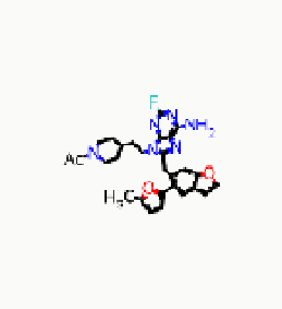 CC(=O)N1CCC(CCn2c(Cc3cc4occc4cc3-c3ccc(C)o3)nc3c(N)nc(F)nc32)CC1